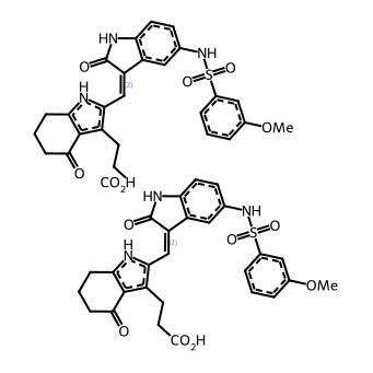 COc1cccc(S(=O)(=O)Nc2ccc3c(c2)/C(=C/c2[nH]c4c(c2CCC(=O)O)C(=O)CCC4)C(=O)N3)c1.COc1cccc(S(=O)(=O)Nc2ccc3c(c2)/C(=C/c2[nH]c4c(c2CCC(=O)O)C(=O)CCC4)C(=O)N3)c1